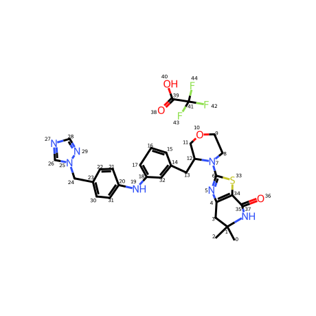 CC1(C)Cc2nc(N3CCOCC3Cc3cccc(Nc4ccc(Cn5cncn5)cc4)c3)sc2C(=O)N1.O=C(O)C(F)(F)F